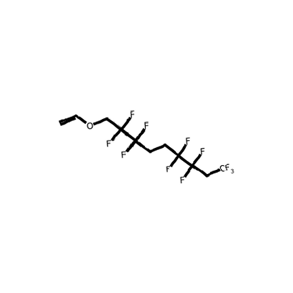 C=COCC(F)(F)C(F)(F)CCC(F)(F)C(F)(F)CC(F)(F)F